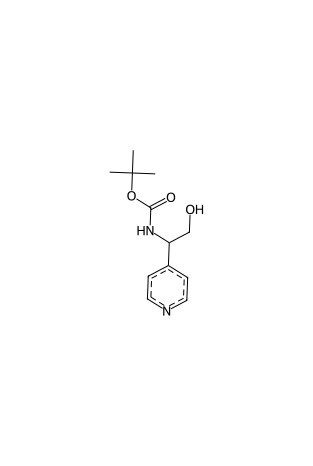 CC(C)(C)OC(=O)NC(CO)c1ccncc1